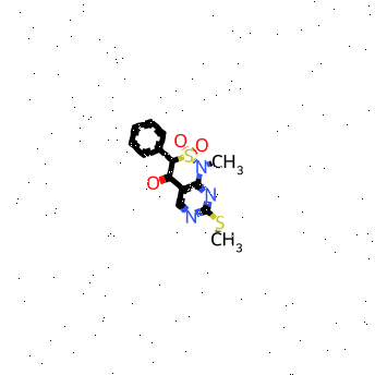 CSc1ncc2c(n1)N(C)S(=O)(=O)C(c1ccccc1)C2=O